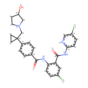 O=C(Nc1ccc(Cl)cc1C(=O)Nc1ccc(Cl)cn1)c1ccc(C2(CN3CCC(O)C3)CC2)cc1